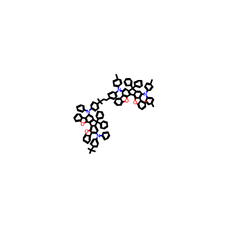 Cc1ccc(N(c2ccc(C)cc2)c2cc3c(c4oc5ccccc5c24)-c2c(cc(N(c4ccc(C)cc4)c4ccc(CCC(C)(C)c5ccc(N(c6ccccc6)c6cc7c(c8oc9ccccc9c68)-c6c(cc(N(c8ccccc8)c8ccc(C(C)(C)C)cc8)c8c6oc6ccccc68)C7(c6ccccc6)c6ccccc6)cc5)cc4)c4c2oc2ccccc24)C3(c2ccccc2)c2ccccc2)cc1